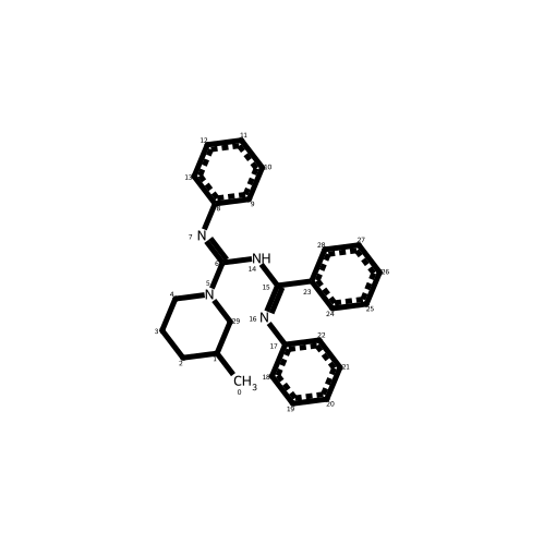 CC1CCCN(/C(=N/c2ccccc2)N/C(=N/c2ccccc2)c2ccccc2)C1